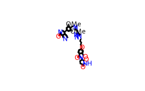 COc1cc(-c2cn(C)c(=O)c3cnccc23)cc(OC)c1CN(C)CCc1cn(CCCCOc2ccc3c(c2)C(=O)N(C2CCC(=O)NC2=O)C3=O)nn1